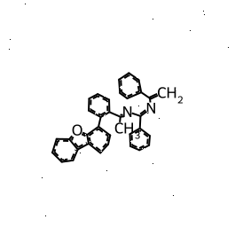 C=C(/N=C(\N=C(/C)c1ccccc1-c1cccc2c1oc1ccccc12)c1ccccc1)c1ccccc1